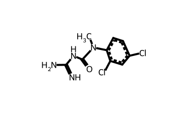 CN(C(=O)NC(=N)N)c1ccc(Cl)cc1Cl